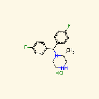 C[C@@H]1CNCCN1C(c1ccc(F)cc1)c1ccc(F)cc1.Cl